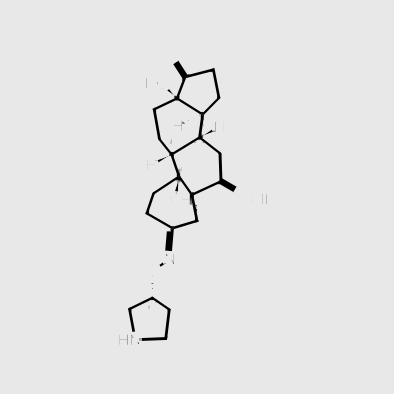 C[C@]12CCC(=NO[C@@H]3CCNC3)CC1C(=O)C[C@@H]1[C@H]2CC[C@]2(C)C(=O)CC[C@@H]12.Cl